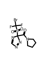 O=C(N1CCCC1)C1(S(=O)(=O)C(F)(F)Br)N=CN=N1